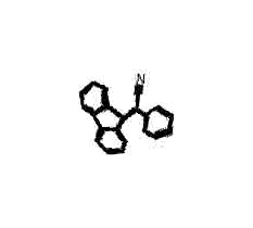 N#CC(=C1c2ccccc2-c2ccccc21)c1ccccc1